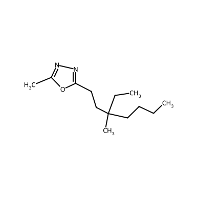 CCCCC(C)(CC)CCc1nnc(C)o1